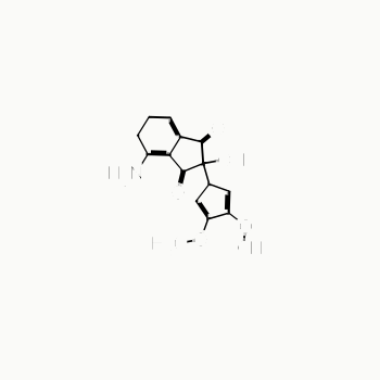 COC1=CC(C2(O)C(=O)C3=CCCC(N)=C3C2=O)C=C1OC